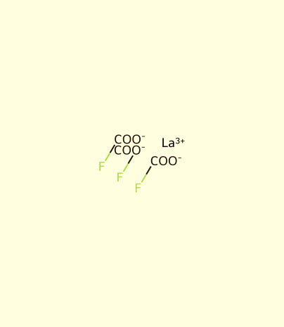 O=C([O-])F.O=C([O-])F.O=C([O-])F.[La+3]